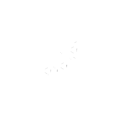 C=Cc1ccc(C(=O)N(Cc2ccc(C(=O)Nc3ccc(CC)nc3)cc2)C2CCN(CCC(C)C)CC2)cc1